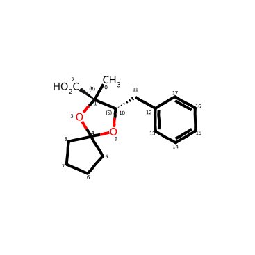 C[C@@]1(C(=O)O)OC2(CCCC2)O[C@H]1Cc1ccccc1